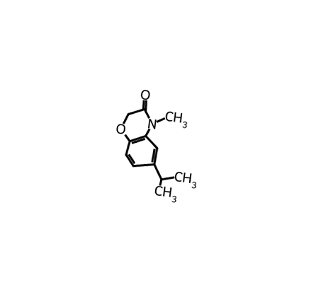 CC(C)c1ccc2c(c1)N(C)C(=O)CO2